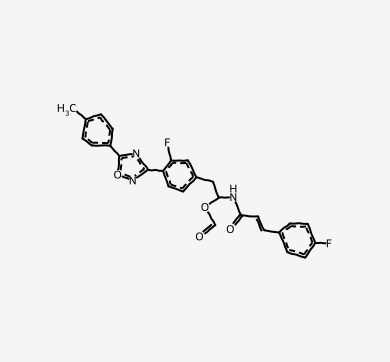 Cc1ccc(-c2nc(-c3ccc(CC(NC(=O)/C=C/c4ccc(F)cc4)OC=O)cc3F)no2)cc1